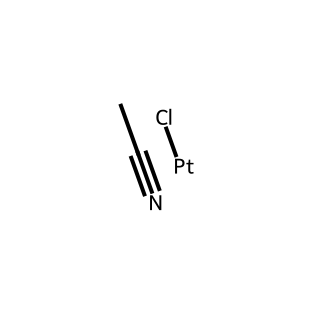 CC#N.[Cl][Pt]